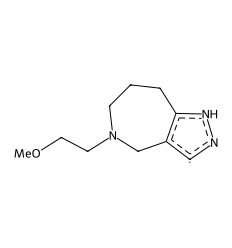 COCCN1CCCc2[nH]n[c]c2C1